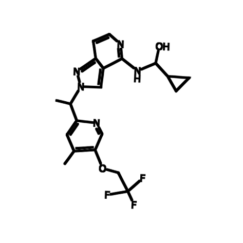 Cc1cc(C(C)n2cc3c(NC(O)C4CC4)nccc3n2)ncc1OCC(F)(F)F